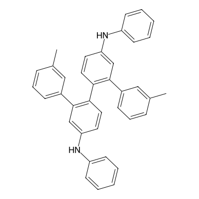 Cc1cccc(-c2cc(Nc3ccccc3)ccc2-c2ccc(Nc3ccccc3)cc2-c2cccc(C)c2)c1